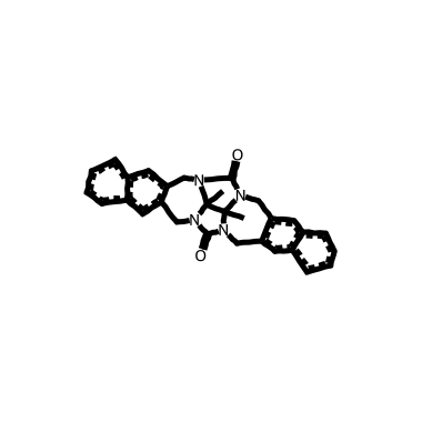 CC12N3Cc4cc5ccccc5cc4CN1C(=O)N1Cc4cc5ccccc5cc4CN(C3=O)C12C